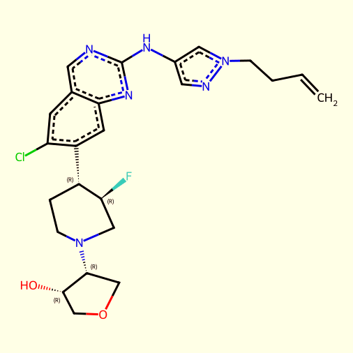 C=CCCn1cc(Nc2ncc3cc(Cl)c([C@H]4CCN([C@@H]5COC[C@@H]5O)C[C@@H]4F)cc3n2)cn1